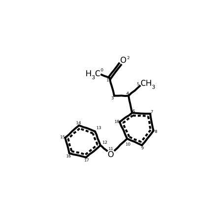 CC(=O)CC(C)c1cccc(Oc2ccccc2)c1